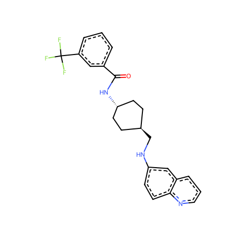 O=C(N[C@H]1CC[C@H](CNc2ccc3ncccc3c2)CC1)c1cccc(C(F)(F)F)c1